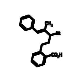 CCC(CCc1ccccc1C(=O)O)C(C)=Cc1ccccc1